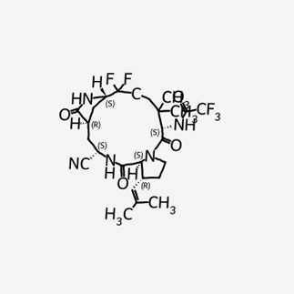 CC(C)=C[C@H]1CCN2C(=O)[C@@H](NC(=O)C(F)(F)F)C(C)(C)CCC(F)(F)[C@@H]3C[C@@H](C[C@@H](C#N)NC(=O)[C@H]12)C(=O)N3